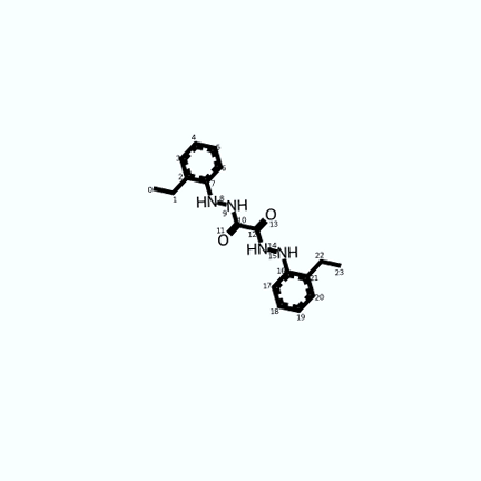 CCc1ccccc1NNC(=O)C(=O)NNc1ccccc1CC